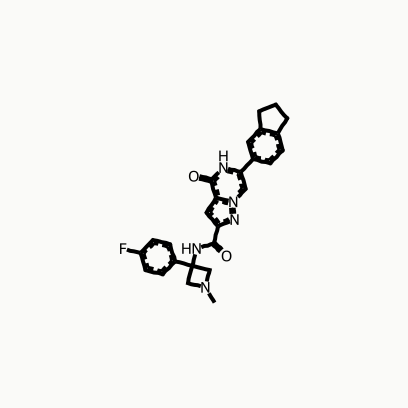 CN1CC(NC(=O)c2cc3c(=O)[nH]c(-c4ccc5c(c4)CCC5)cn3n2)(c2ccc(F)cc2)C1